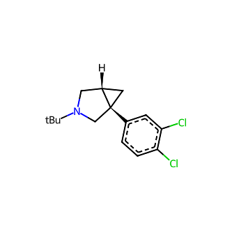 CC(C)(C)N1C[C@@H]2C[C@]2(c2ccc(Cl)c(Cl)c2)C1